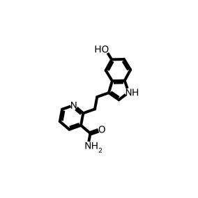 NC(=O)c1cccnc1CCc1c[nH]c2ccc(O)cc12